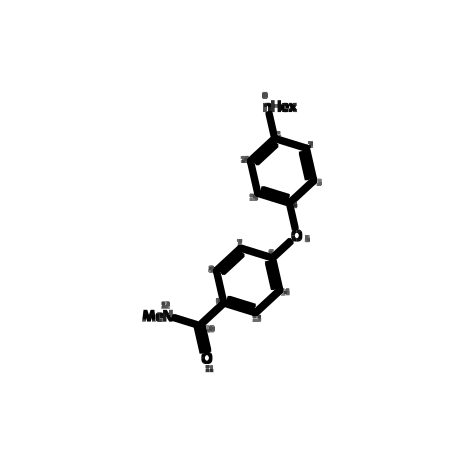 CCCCCCc1ccc(Oc2ccc(C(=O)NC)cc2)cc1